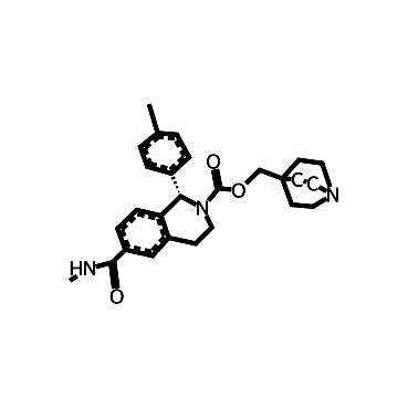 CNC(=O)c1ccc2c(c1)CCN(C(=O)OCC13CCN(CC1)CC3)[C@H]2c1ccc(C)cc1